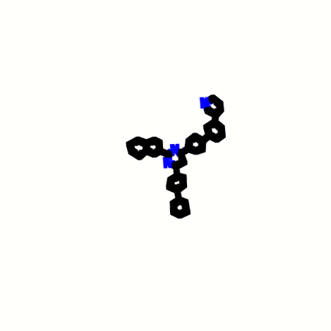 c1ccc(-c2ccc(-c3cc(-c4ccc(-c5cccc(-c6cccnc6)c5)cc4)nc(-c4ccc5ccccc5c4)n3)cc2)cc1